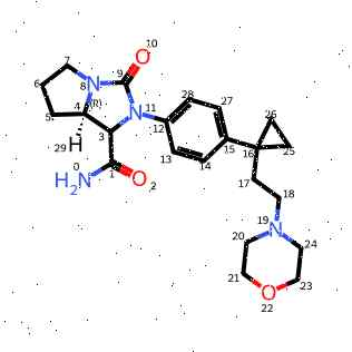 NC(=O)C1[C@H]2[CH]CCN2C(=O)N1c1ccc(C2(CCN3CCOCC3)CC2)cc1